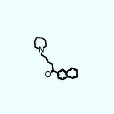 O=C(CCCCN1CCCCCC1)c1ccc2ccccc2c1